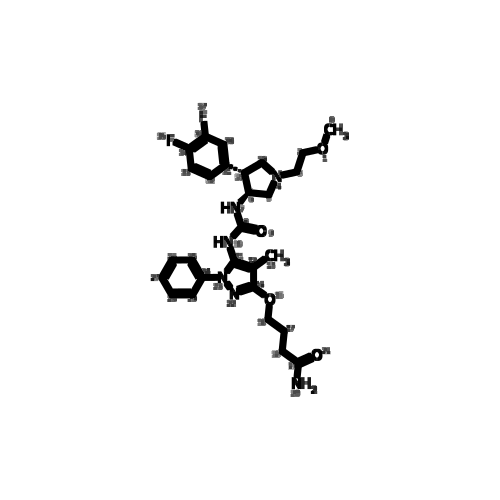 COCCN1C[C@@H](NC(=O)Nc2c(C)c(OCCCC(N)=O)nn2-c2ccccc2)[C@H](c2ccc(F)c(F)c2)C1